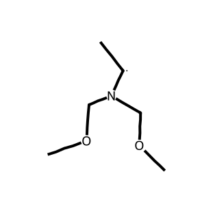 C[CH]N(COC)COC